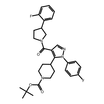 CC(C)(C)OC(=O)N1CCC(c2c(C(=O)N3CCC(c4ccccc4F)C3)cnn2-c2ccc(F)cc2)CC1